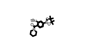 CC(C)(C)c1cc(B2OC(C)(C)C(C)(C)O2)ccc1C(=O)N1CCCCC1